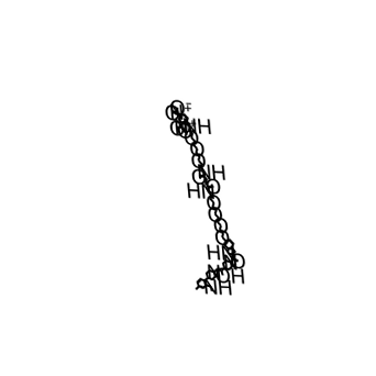 CNc1cc(C)ccc1C1CCN(CC(O)C2CCN(C(=O)c3cc4ccc(OCCOCCOCCOCCNC(=O)CCC(=O)NCCOCCOCCOCCNc5ccc([N+](=O)[O-])cc5[N+](=O)[O-])cc4[nH]3)CC2)CC1